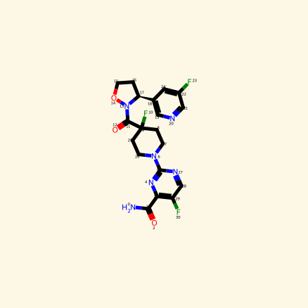 NC(=O)c1nc(N2CCC(F)(C(=O)N3OCC[C@H]3c3cncc(F)c3)CC2)ncc1F